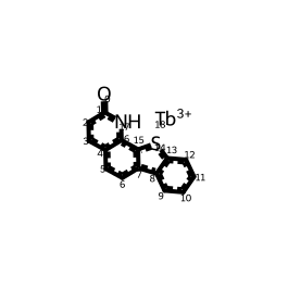 O=c1ccc2ccc3c4ccccc4sc3c2[nH]1.[Tb+3]